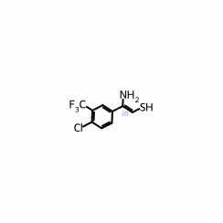 N/C(=C\S)c1ccc(Cl)c(C(F)(F)F)c1